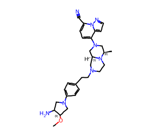 CO[C@@H]1CN(c2ccc(CCN3CCN4[C@@H](C3)CN(c3ccc(C#N)n5nccc35)C[C@H]4C)cc2)CC1N